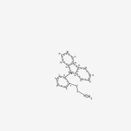 CCCc1ccccc1-n1c2ccccc2c2ccccc21